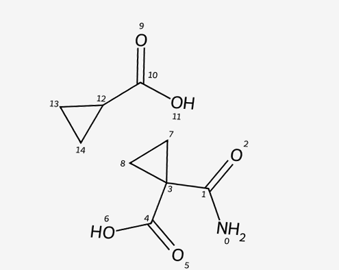 NC(=O)C1(C(=O)O)CC1.O=C(O)C1CC1